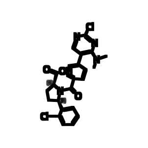 CN(C)c1nc(Cl)ncc1-c1ccc(C(=O)N2[C@@H](c3ccccc3Cl)CC[C@H]2C(=O)O)cc1